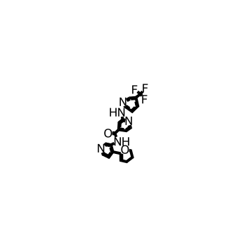 O=C(Nc1cnccc1C1=CCCCO1)c1ccnc(Nc2ccc(C(F)(F)F)cn2)c1